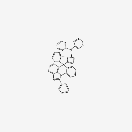 c1ccc(-c2nc3cccc4c3n2-c2ccccc2C42c3ccccc3-c3c(N(c4ccccc4)c4ccccc4)cccc32)cc1